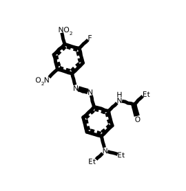 CCC(=O)Nc1cc(N(CC)CC)ccc1/N=N/c1cc(F)c([N+](=O)[O-])cc1[N+](=O)[O-]